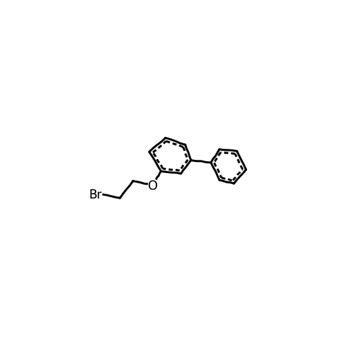 BrCCOc1cccc(-c2ccccc2)c1